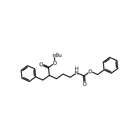 CCCCOC(=O)C(CCCNC(=O)OCc1ccccc1)Cc1ccccc1